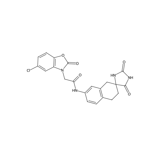 O=C(Cn1c(=O)oc2ccc(Cl)cc21)Nc1ccc2c(c1)CC1(CC2)NC(=O)NC1=O